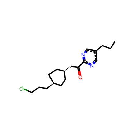 CCCc1cnc(C(=O)C[C@H]2CC[C@H](CCCCl)CC2)nc1